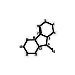 IC1C2CCCC=C2C2CCCCC21